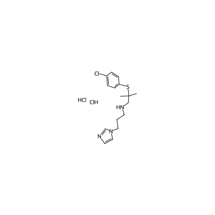 CC(C)(CNCCCn1ccnc1)Sc1ccc(Cl)cc1.Cl.Cl